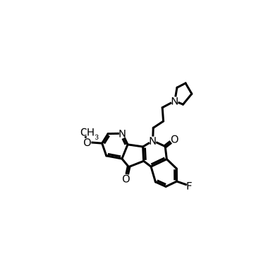 COc1cnc2c(c1)C(=O)c1c-2n(CCCN2CCCC2)c(=O)c2cc(F)ccc12